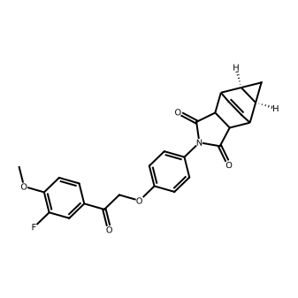 COc1ccc(C(=O)COc2ccc(N3C(=O)C4C(C3=O)C3C=CC4[C@H]4C[C@@H]34)cc2)cc1F